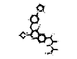 C=C(C(O)c1ccc2nc(N3CCC3)c(Cc3ccc(-n4cccn4)cc3)c(Cl)c2c1)N(C)/C(C)=N\CC